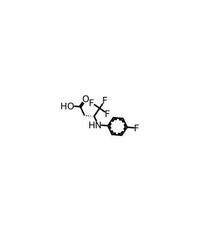 O=C(O)C[C@@H](Nc1ccc(F)cc1)C(F)(F)F